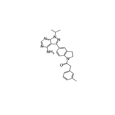 Cc1cccc(CC(=O)N2CCc3cc(-c4nn(C(C)C)c5ncnc(N)c45)ccc32)c1